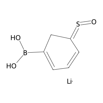 O=S=C1C=CC=C(B(O)O)C1.[Li]